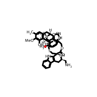 COc1c(C)cc2c(c1O)[C@@H]1[C@@H]3[C@@H]4SC[C@]5(N[C@@H](CN)Cc6c5[nH]c5ccccc65)C(=O)OC[C@@H](c5c6c(c(C)c(C)c54)OCO6)N3[C@@H](C#N)[C@H](C2)N1C